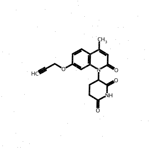 C#CCOc1ccc2c(C)cc(=O)n(C3CCC(=O)NC3=O)c2c1